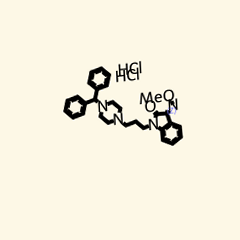 CO/N=C1\C(=O)N(CCCN2CCN(C(c3ccccc3)c3ccccc3)CC2)c2ccccc21.Cl.Cl